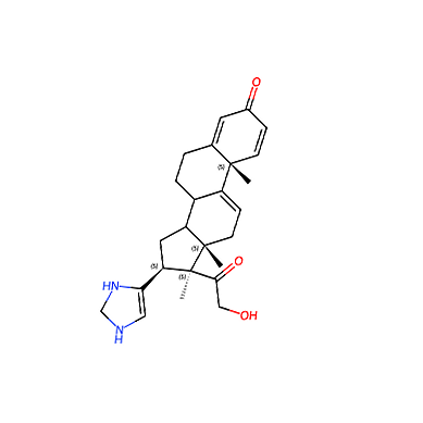 C[C@]12C=CC(=O)C=C1CCC1C2=CC[C@@]2(C)C1C[C@H](C1=CNCN1)[C@]2(C)C(=O)CO